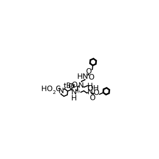 CC(C)(C)C1C(C(=O)N[C@@H](CCCNC(=O)OCc2ccccc2)C(=O)N(CCO)CCNC(=O)OCc2ccccc2)CCCN1C(=O)O